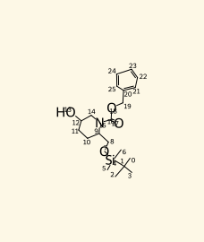 CC(C)(C)[Si](C)(C)OCC1CCC(O)CN1C(=O)OCc1ccccc1